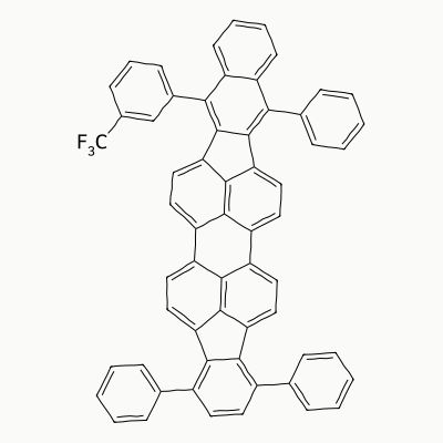 FC(F)(F)c1cccc(-c2c3c(c(-c4ccccc4)c4ccccc24)-c2ccc4c5ccc6c7c(ccc(c8ccc-3c2c48)c75)-c2c(-c3ccccc3)ccc(-c3ccccc3)c2-6)c1